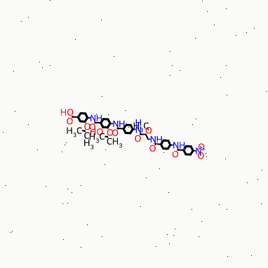 COC(CNC(=O)c1ccc(NC(=O)c2ccc([N+](=O)[O-])cc2)cc1)C(=O)Nc1ccc(C(=O)Nc2ccc(C(=O)Nc3ccc(C(=O)O)cc3OC(C)C)c(O)c2OC(C)C)cc1